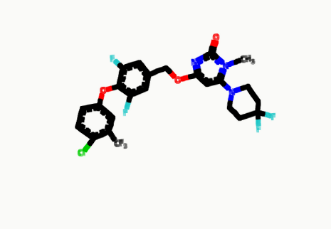 Cn1c(N2CCC(F)(F)CC2)cc(OCc2cc(F)c(Oc3ccc(Cl)c(C(F)(F)F)c3)c(F)c2)nc1=O